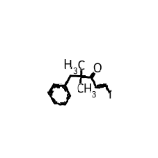 CC(C)(Cc1ccccc1)C(=O)C=CI